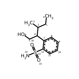 CCC(C)C(CO)c1ccccc1S(N)(=O)=O